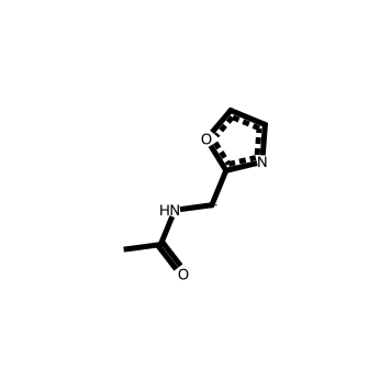 CC(=O)N[CH]c1ncco1